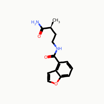 C[C@@H]([CH]CNC(=O)c1cccc2occc12)C(N)=O